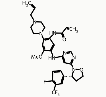 C=CCN1CCN(c2cc(OC)c(Nc3cc(N4OCC[C@@H]4c4ccc(F)c(C(F)(F)F)c4)ncn3)cc2NC(=O)C=C)CC1